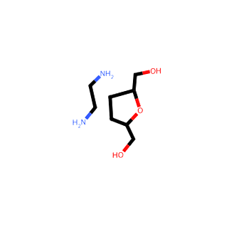 NCCN.OCC1CCC(CO)O1